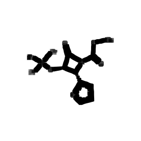 CC(C)[Si](O[C@H]1C(=O)N(C(=O)OC(C)(C)C)[C@@H]1c1ccco1)(C(C)C)C(C)C